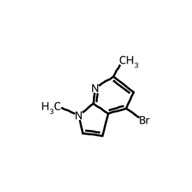 Cc1cc(Br)c2ccn(C)c2n1